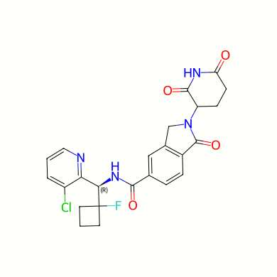 O=C1CCC(N2Cc3cc(C(=O)N[C@H](c4ncccc4Cl)C4(F)CCC4)ccc3C2=O)C(=O)N1